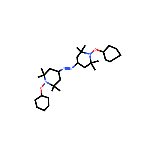 CC1(C)CC(N=NC2CC(C)(C)N(OC3CCCCC3)C(C)(C)C2)CC(C)(C)N1OC1CCCCC1